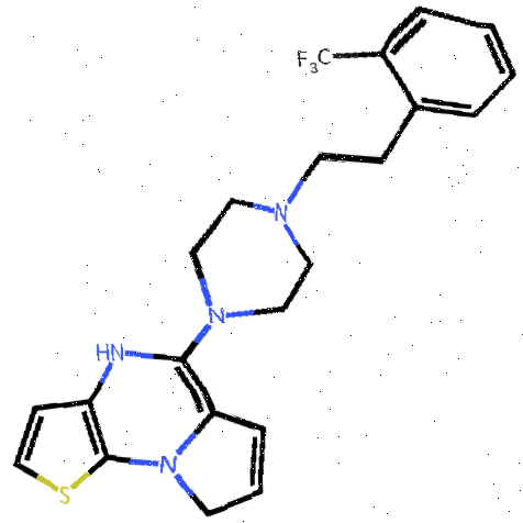 FC(F)(F)c1ccccc1CCN1CCN(C2=C3C=CCN3c3sccc3N2)CC1